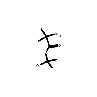 BC(C)(C)C(=O)OC(C)(C)C(C)=O